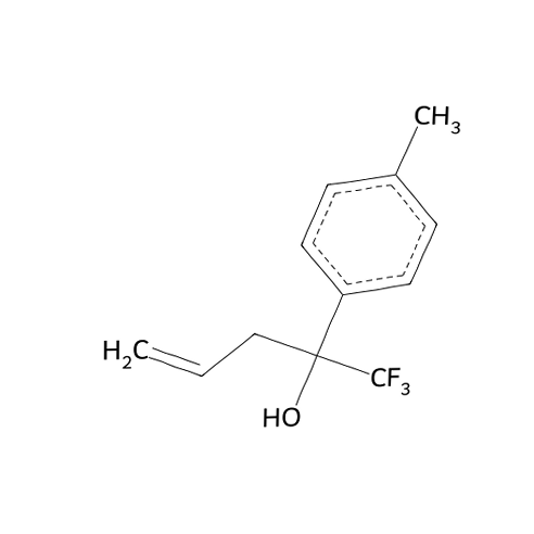 C=CCC(O)(c1ccc(C)cc1)C(F)(F)F